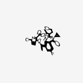 CC(Oc1ccc(Cl)nc1C(=O)O)c1cc(F)cc2c(=O)n(C3CC3)c(C3CCOCC3)nc12